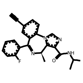 C#Cc1ccc2c(c1)C(c1ccccc1F)=N[C@H](C)c1c(C(=O)NC(C)C)ncn1-2